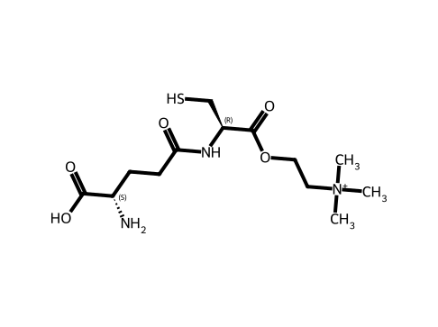 C[N+](C)(C)CCOC(=O)[C@H](CS)NC(=O)CC[C@H](N)C(=O)O